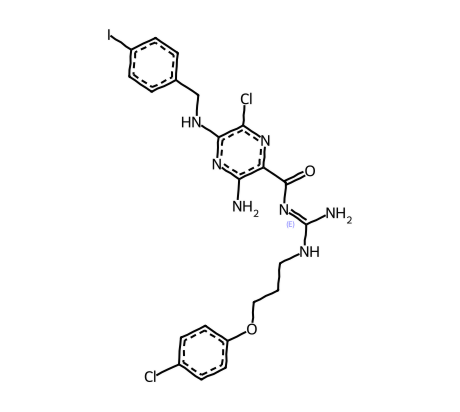 N/C(=N\C(=O)c1nc(Cl)c(NCc2ccc(I)cc2)nc1N)NCCCOc1ccc(Cl)cc1